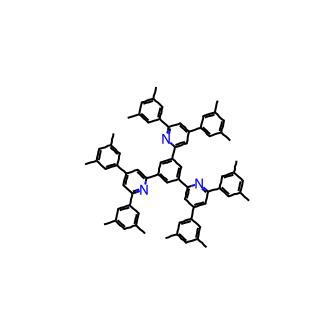 Cc1cc(C)cc(-c2cc(-c3cc(C)cc(C)c3)nc(-c3cc(-c4cc(-c5cc(C)cc(C)c5)cc(-c5cc(C)cc(C)c5)n4)cc(-c4cc(-c5cc(C)cc(C)c5)cc(-c5cc(C)cc(C)c5)n4)c3)c2)c1